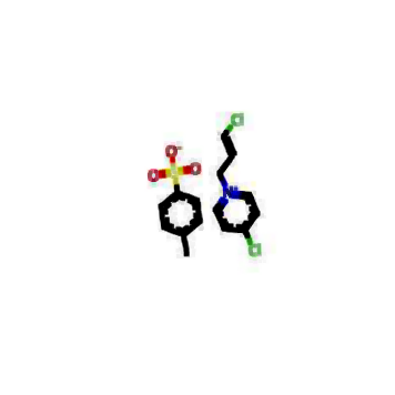 Cc1ccc(S(=O)(=O)[O-])cc1.ClC=CC[n+]1ccc(Cl)cc1